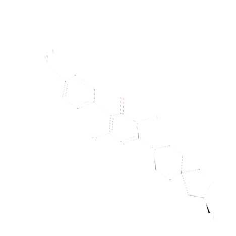 COc1ccc(-c2c(N)nc(N3CCC4(CC3)CO[C@@H](C)C4)n(C)c2=O)cc1